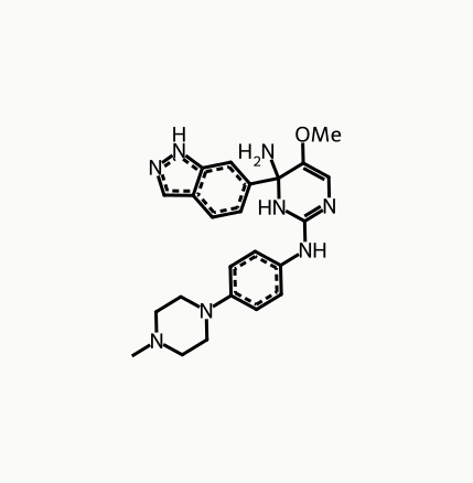 COC1=CN=C(Nc2ccc(N3CCN(C)CC3)cc2)NC1(N)c1ccc2cn[nH]c2c1